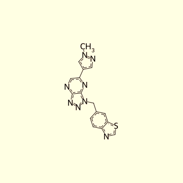 Cn1cc(-c2cnc3nnn(Cc4ccc5ncsc5c4)c3n2)cn1